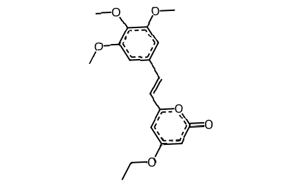 CCOc1cc(C=Cc2cc(OC)c(OC)c(OC)c2)oc(=O)c1